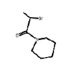 CC(Br)C(=O)N1CCCCC1